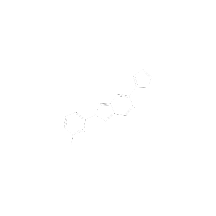 Fc1cccc(-n2cc3cnc(-c4cncs4)cc3n2)n1